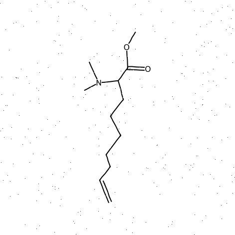 C=CCCCCCC(C(=O)OC)N(C)C